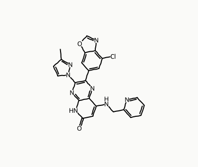 Cc1ccn(-c2nc3[nH]c(=O)cc(NCc4ccccn4)c3nc2-c2cc(Cl)c3ncoc3c2)n1